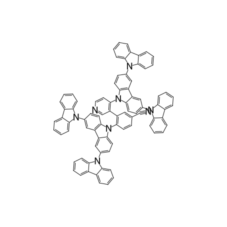 N#Cc1ccc(-n2c3ccc(-n4c5ccccc5c5ccccc54)cc3c3cc(-n4c5ccccc5c5ccccc54)ccc32)c(-c2cnccc2-n2c3ccc(-n4c5ccccc5c5ccccc54)cc3c3cc(-n4c5ccccc5c5ccccc54)ccc32)c1